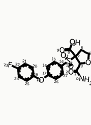 NC(=O)C1OCCC1(C(=O)O)S(=O)(=O)c1ccc(Oc2ccc(F)cc2)cc1